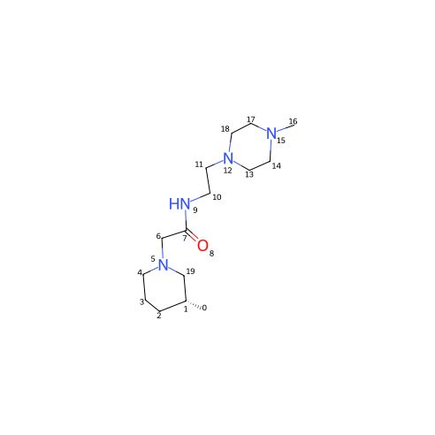 C[C@@H]1CCCN(CC(=O)NCCN2CCN(C)CC2)C1